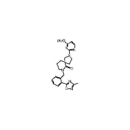 COc1ccnc(N2CCC3(CCCN(Cc4ccccc4-c4nc(C)no4)C3=O)C2)n1